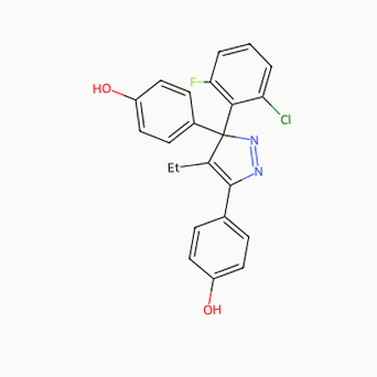 CCC1=C(c2ccc(O)cc2)N=NC1(c1ccc(O)cc1)c1c(F)cccc1Cl